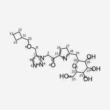 O=C(Cn1nncc1COCC1CCC1)C1=CCC(CC2OC(CO)C(O)C(O)C2O)=N1